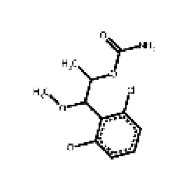 COC(c1c(Cl)cccc1Cl)C(C)OC(N)=O